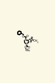 CC(C)(C)OC(=O)N1CCN(C(=O)OCc2ccccc2)[C@@H](CS(C)(=O)=O)C1